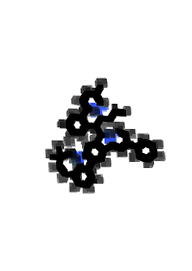 C=CCC1C(C2c3cc4c(cc3-c3cc(-c5ccccc5)cc[n+]32)c2cccc3c2n4[C@@H](C)C(C)(C)C=C3)c2ccccc2-c2ccc(C)c[n+]21